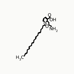 CCC=CCC=CCC=CCC=CCC=CCCCC(=O)N1C=CC=C(C(=O)O)C1CCCN